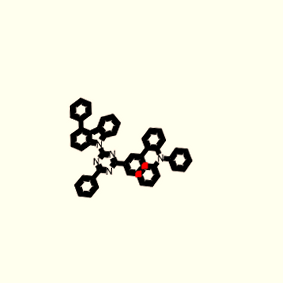 c1ccc(-c2nc(-c3cccc(-c4ccccc4N(c4ccccc4)c4ccccc4)c3)nc(-n3c4ccccc4c4c(-c5ccccc5)cccc43)n2)cc1